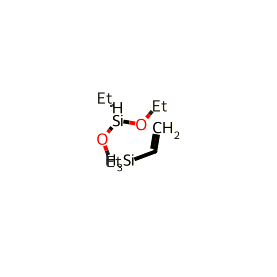 C=C[SiH3].CCO[SiH](CC)OCC